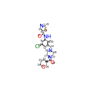 Cc1ncc(C(=O)Nc2cc(Cl)cc(CN3CCN(C(=O)[C@@H]4CCCOC4)CC3)c2C)s1